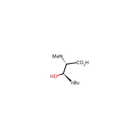 CCCC[C@@H](O)[C@H](NC)C(=O)O